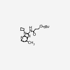 Cc1ccnc2c1nc(NC(=O)CCOC(C)(C)C)n2C1CCC1